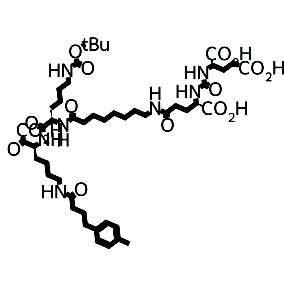 Cc1ccc(CCCC(=O)NCCCC[C@H](NC(=O)[C@H](CCCCNC(=O)OC(C)(C)C)NC(=O)CCCCCCCNC(=O)CC[C@H](NC(=O)N[C@@H](CCC(=O)O)C(=O)O)C(=O)O)C(=O)C(=O)O)cc1